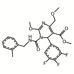 COCC1=C(C(=O)OC)C(c2cc(F)c(F)c(F)c2)N(C(=O)NCc2ccccc2C)C(OC)=N1